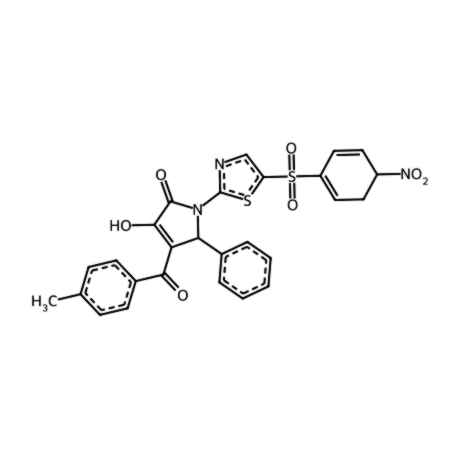 Cc1ccc(C(=O)C2=C(O)C(=O)N(c3ncc(S(=O)(=O)C4=CCC([N+](=O)[O-])C=C4)s3)C2c2ccccc2)cc1